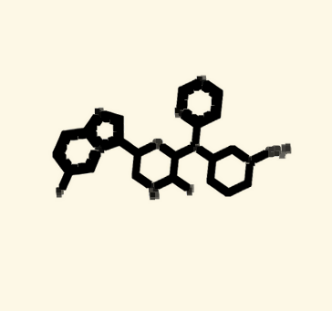 O=C(O)N1CCCC(N(c2ccncn2)C2OC(c3cnc4ccc(F)cn34)CNC2F)C1